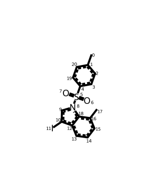 Cc1ccc(S(=O)(=O)n2cc(I)c3cccc(C)c32)cc1